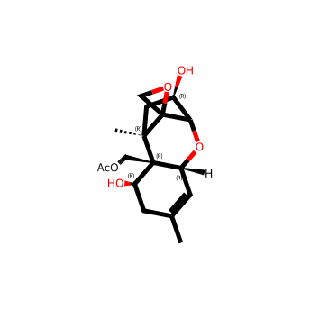 CC(=O)OC[C@]12[C@H](O)CC(C)=C[C@H]1OC1[C@H](O)C[C@@]2(C)C12CO2